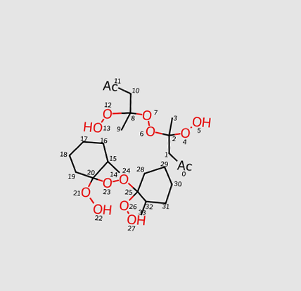 CC(=O)CC(C)(OO)OOC(C)(CC(C)=O)OO.CC1CCCCC1(OO)OOC1(OO)CCCCC1C